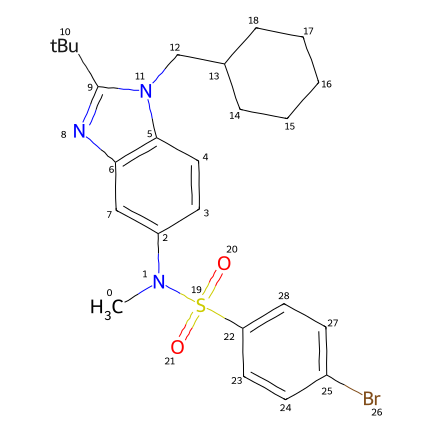 CN(c1ccc2c(c1)nc(C(C)(C)C)n2CC1CCCCC1)S(=O)(=O)c1ccc(Br)cc1